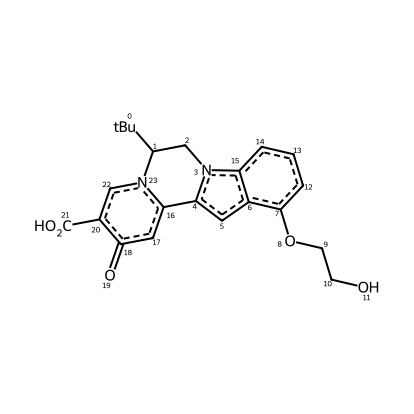 CC(C)(C)C1Cn2c(cc3c(OCCO)cccc32)-c2cc(=O)c(C(=O)O)cn21